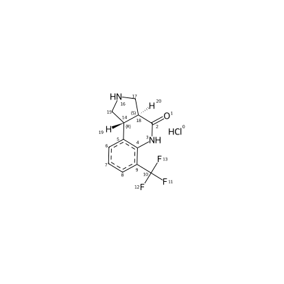 Cl.O=C1Nc2c(cccc2C(F)(F)F)[C@@H]2CNC[C@@H]12